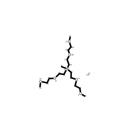 COCCOCC[N+](C)(CCOCCOC)CCOCCOC.[I-]